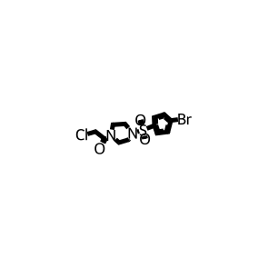 O=C(CCl)N1CCN(S(=O)(=O)c2ccc(Br)cc2)CC1